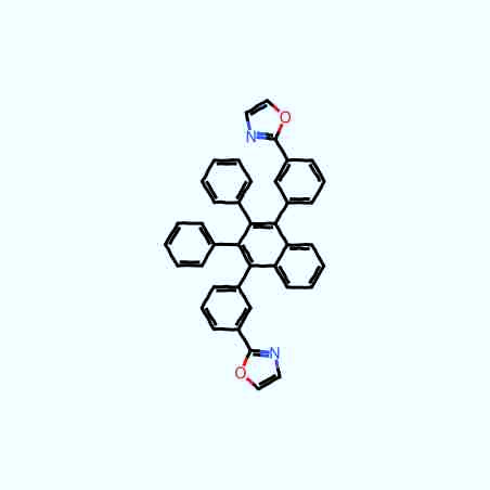 c1ccc(-c2c(-c3ccccc3)c(-c3cccc(-c4ncco4)c3)c3ccccc3c2-c2cccc(-c3ncco3)c2)cc1